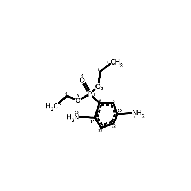 CCOP(=O)(OCC)c1cc(N)ccc1N